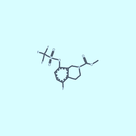 COC(=O)N1CCc2c(F)ccc(OS(=O)(=O)C(F)(F)F)c2C1